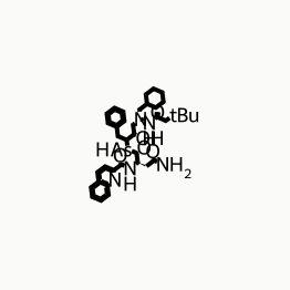 CC(C)(C)CC(=O)NN(CC1CCCCC1)CC(O)C(Cc1ccccc1)[AsH]C(=O)[C@H](CC(N)=O)NC(=O)c1ccc2ccccc2n1